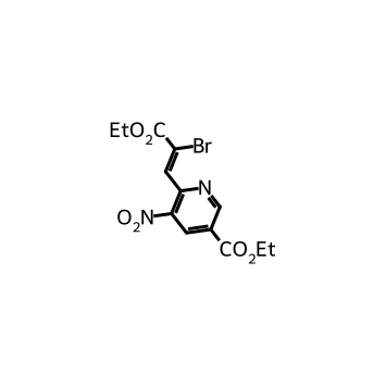 CCOC(=O)C(Br)=Cc1ncc(C(=O)OCC)cc1[N+](=O)[O-]